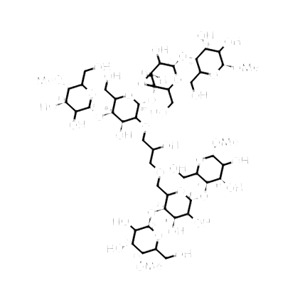 CO[C@H]1OC(CO)[C@H](O[C@H]2OC(COCC(O)COC3[C@@H](O[C@]45O[C@@H]4C(O)[C@@H](O[C@H]4C(CO)O[C@H](OC)C(O)[C@H]4O)OC5CO)OC(CO)[C@H](O[C@H]4OC(CO)[C@@H](OC)[C@H](O)C4O)[C@@H]3O)[C@H](O[C@H]3OC(CO)[C@H](OC)[C@H](O)C3O)[C@H](O)C2O)[C@H](O)C1O